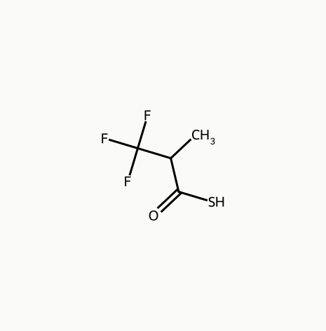 CC(C(=O)S)C(F)(F)F